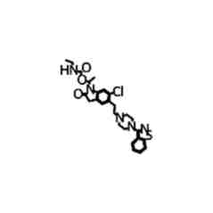 CCNC(=O)OC(C)N1C(=O)Cc2cc(CCN3CCN(c4nsc5ccccc45)CC3)c(Cl)cc21